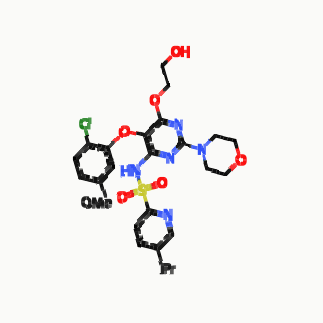 COc1ccc(Cl)c(Oc2c(NS(=O)(=O)c3ccc(C(C)C)cn3)nc(N3CCOCC3)nc2OCCO)c1